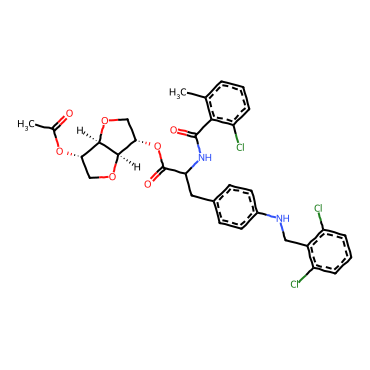 CC(=O)O[C@H]1CO[C@H]2[C@@H]1OC[C@@H]2OC(=O)C(Cc1ccc(NCc2c(Cl)cccc2Cl)cc1)NC(=O)c1c(C)cccc1Cl